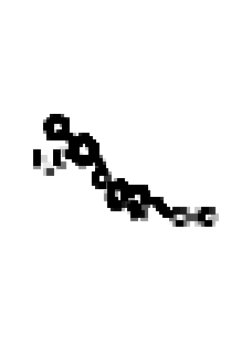 O=CCCc1cc2cc(OCc3ccc(C4CCCC4)c(C(F)(F)F)c3)ccn2n1